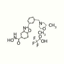 C[C@@H]1CN(Cc2cccc(-c3nc4cc(C(=O)NO)ccc4o3)c2)C[C@H](C)O1.O=C(O)C(F)(F)F